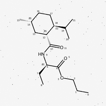 CCCOC(=O)[C@@H](CC)NC(=O)[C@@H]1C[C@H](C)CC[C@H]1C(C)C